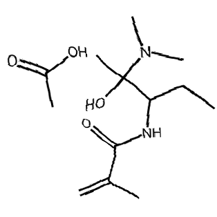 C=C(C)C(=O)NC(CC)C(C)(O)N(C)C.CC(=O)O